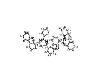 c1ccc(-c2nc(-c3cccc4c3sc3ccccc34)nc(-c3cccc4oc5c(-c6nc7ccccc7c7nc8ccccc8n67)cccc5c34)n2)cc1